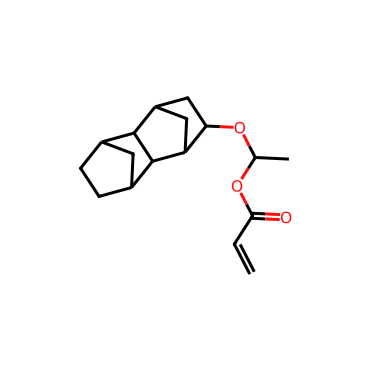 C=CC(=O)OC(C)OC1CC2CC1C1C3CCC(C3)C21